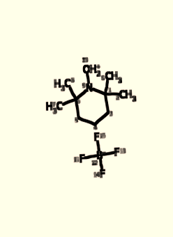 CC1(C)CCCC(C)(C)N1[OH2+].F[B-](F)(F)F